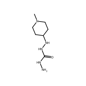 CN1CCC(NNC(=O)NN)CC1